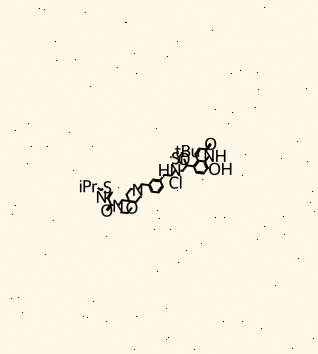 CC(C)c1nc(C(=O)N2CCOC3(CCN(Cc4cccc(CC(Cl)NCC(O[Si](C)(C)C(C)(C)C)c5ccc(O)c6[nH]c(=O)ccc56)c4)CC3)C2)cs1